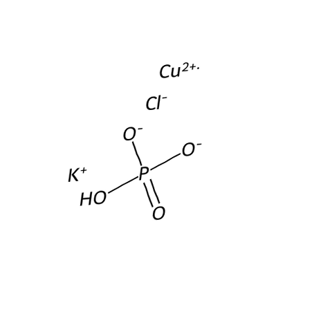 O=P([O-])([O-])O.[Cl-].[Cu+2].[K+]